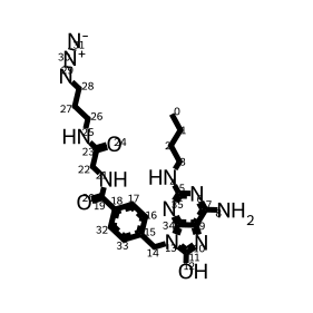 CCCCNc1nc(N)c2nc(O)n(Cc3ccc(C(=O)NCC(=O)NCCCN=[N+]=[N-])cc3)c2n1